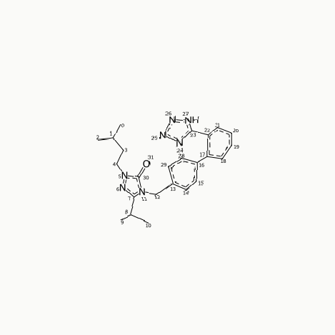 CC(C)CCn1nc(C(C)C)n(Cc2ccc(-c3ccccc3-c3nnn[nH]3)cc2)c1=O